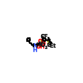 CC[C@H](Cc1cc(C)c(-c2cc(C(F)(F)F)cc(S(=O)(=O)N(C)CC(O)CNC(C)(C)CCCc3ccccc3)c2)s1)C(=O)O